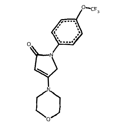 O=C1C=C(N2CCOCC2)CN1c1ccc(OC(F)(F)F)cc1